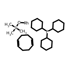 C1=C\CC/C=C\CC/1.C1CCC(P(C2CCCCC2)C2CCCCC2)CC1.C[Si](C)(C)[O][Rh]